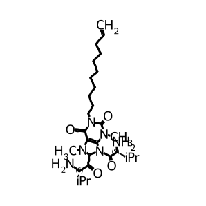 C=CCCCCCCCCCn1c(=O)c2c(n(C)c1=O)N(C(=O)[C@@H](N)C(C)C)C(C(=O)[C@@H](N)C(C)C)N2C